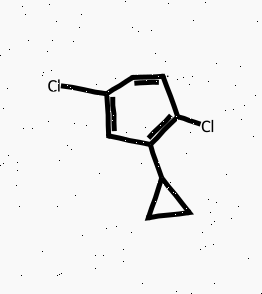 Clc1c[c]c(Cl)c(C2CC2)c1